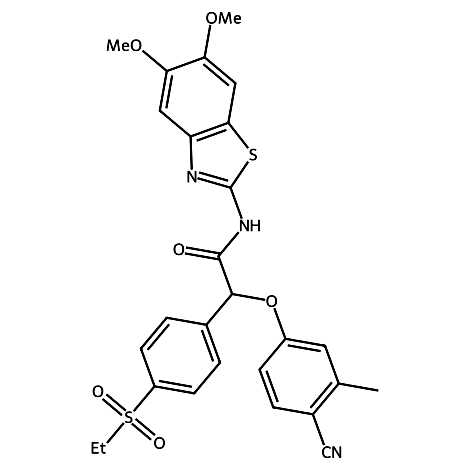 CCS(=O)(=O)c1ccc(C(Oc2ccc(C#N)c(C)c2)C(=O)Nc2nc3cc(OC)c(OC)cc3s2)cc1